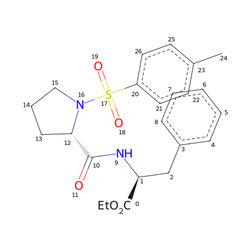 CCOC(=O)[C@H](Cc1ccccc1)NC(=O)[C@@H]1CCCN1S(=O)(=O)c1ccc(C)cc1